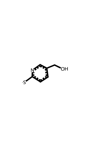 OCc1ccc([S])nc1